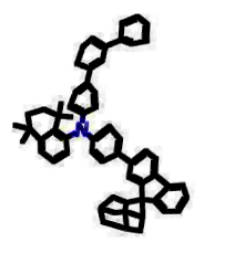 CC1(C)CCC(C)(C)c2c(N(c3ccc(C4=CC(c5ccccc5)=CCC4)cc3)c3ccc(-c4ccc5c(c4)C4(c6ccccc6-5)C5CC6CC7CC4C75C6)cc3)cccc21